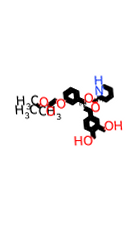 CC(C)(C)OC(=O)COc1cccc([C@@H](CCc2ccc(CO)c(CO)c2)OC(=O)[C@@H]2CCCCN2)c1